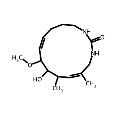 COC1C=CCCCNC(=O)NCC(C)=CC(C)C1O